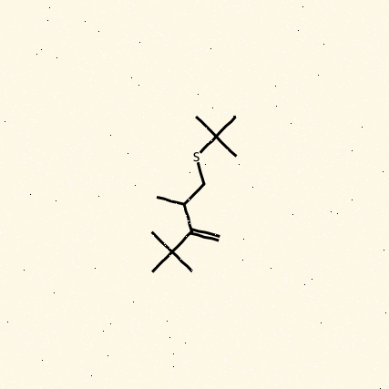 C=C(C(C)CSC(C)(C)C)C(C)(C)C